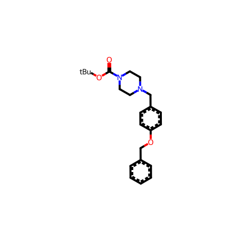 CC(C)(C)OC(=O)N1CCN(Cc2ccc(OCc3ccccc3)cc2)CC1